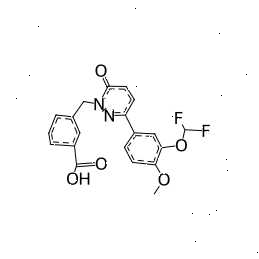 COc1ccc(-c2ccc(=O)n(Cc3cccc(C(=O)O)c3)n2)cc1OC(F)F